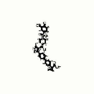 Cc1noc(-c2ccc(-c3ccc(C4(C(=O)O)CC4)cc3)cc2)c1C(=O)N1CCN(S(=O)(=O)c2ccc(Cl)c(Cl)c2)CC1